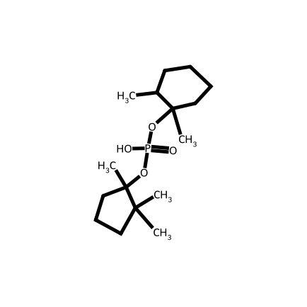 CC1CCCCC1(C)OP(=O)(O)OC1(C)CCCC1(C)C